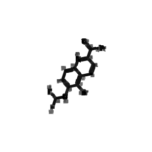 CC(C)C(=O)c1ccc2c(Br)c(OC(F)F)ccc2n1